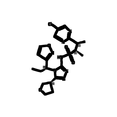 CC[C@H](c1ccon1)n1c(NS(=O)(=O)[C@@H](C)[C@H](C)c2ncc(Cl)cn2)nnc1[C@@H]1CCOC1